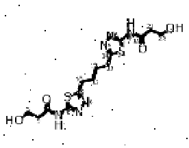 O=C(CCO)Nc1nnc(CCCCc2nnc(NC(=O)CCO)s2)s1